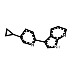 c1cnc2[nH]cc(-c3ccc(C4CC4)cn3)c2c1